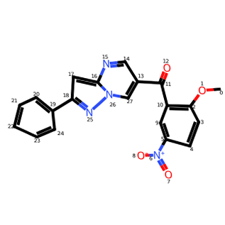 COc1ccc([N+](=O)[O-])cc1C(=O)c1cnc2cc(-c3ccccc3)nn2c1